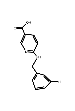 O=C(O)c1ccc(NCc2cccc(Cl)c2)nc1